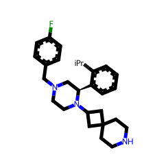 CC(C)c1ccccc1[C@@H]1CN(Cc2ccc(F)cc2)CCN1C1CC2(CCNCC2)C1